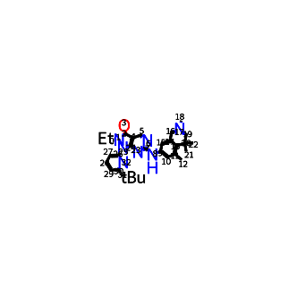 CCn1c(=O)c2cnc(Nc3cc(C)c4c(c3)CN(C)CC4(C)C)nc2n1-c1cccc(C(C)(C)C)n1